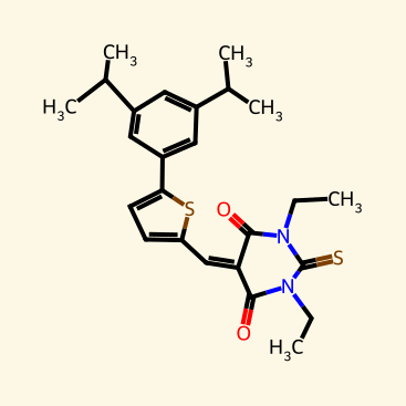 CCN1C(=O)C(=Cc2ccc(-c3cc(C(C)C)cc(C(C)C)c3)s2)C(=O)N(CC)C1=S